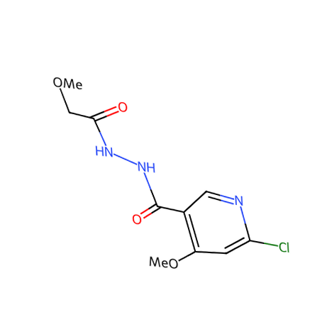 COCC(=O)NNC(=O)c1cnc(Cl)cc1OC